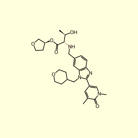 Cc1cc(-c2nc3ccc(CN[C@H](C(=O)O[C@H]4CCOC4)[C@@H](C)O)cc3n2CC2CCOCC2)cn(C)c1=O